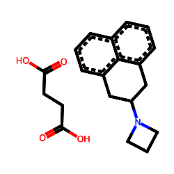 O=C(O)CCC(=O)O.c1cc2c3c(cccc3c1)CC(N1CCC1)C2